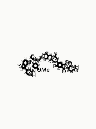 C=CC(=O)Nc1cc(Nc2nccc(-c3cn(C)c4ccccc34)n2)c(OC)cc1N(C)CCN1CCC(CN2C(C)CN(c3cc4c(cc3F)C(=O)N(C3CCC(=O)NC3=O)C4=O)CC2C)CC1